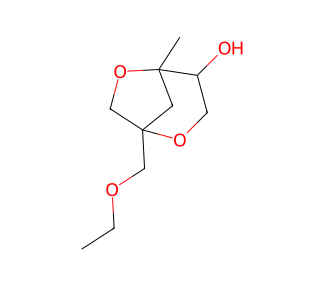 CCOCC12COC(C)(C1)C(O)CO2